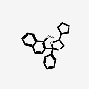 COc1c(C2(c3ccccc3)OCC(C3CCOC3)O2)ccc2ccccc12